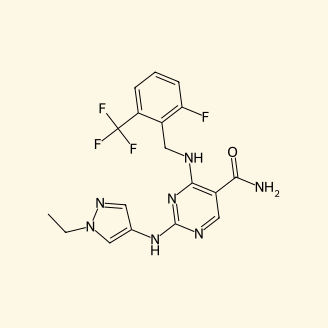 CCn1cc(Nc2ncc(C(N)=O)c(NCc3c(F)cccc3C(F)(F)F)n2)cn1